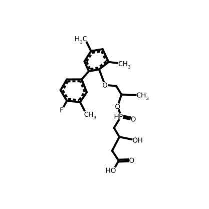 Cc1cc(C)c(OCC(C)O[PH](=O)CC(O)CC(=O)O)c(-c2ccc(F)c(C)c2)c1